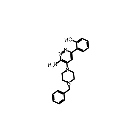 Nc1nnc(-c2ccccc2O)cc1N1CCN(Cc2ccccc2)CC1